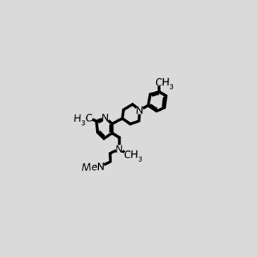 CNCCN(C)Cc1ccc(C)nc1C1CCN(c2cccc(C)c2)CC1